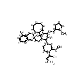 C=CC(=O)N1CCN(C2NC(OCC3CCCN3C)NC3(C4CCCCCCC4)C[C@@]4(CCc5c(Cl)cccc5O4)CCC23)CC1CC#N